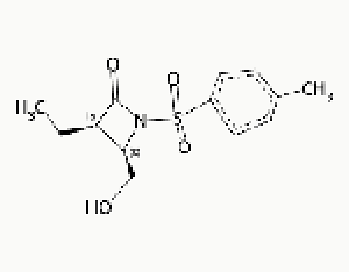 CC[C@H]1C(=O)N(S(=O)(=O)c2ccc(C)cc2)[C@H]1CO